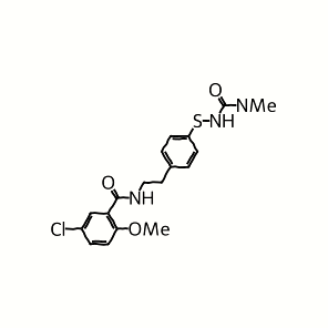 CNC(=O)NSc1ccc(CCNC(=O)c2cc(Cl)ccc2OC)cc1